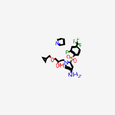 Nc1cc(S(=O)(=O)c2ccc(C(F)(F)F)cc2F)n(CC(O)COCC2CC2)c1.c1ccncc1